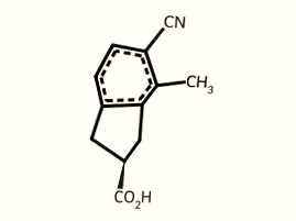 Cc1c(C#N)ccc2c1C[C@@H](C(=O)O)C2